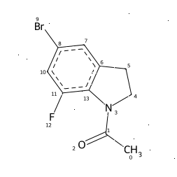 CC(=O)N1CCc2cc(Br)cc(F)c21